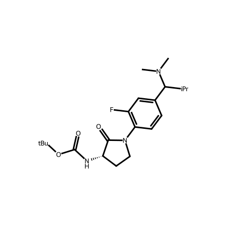 CC(C)C(c1ccc(N2CC[C@H](NC(=O)OC(C)(C)C)C2=O)c(F)c1)N(C)C